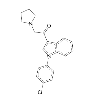 O=C(CN1CCCC1)c1cn(-c2ccc(Cl)cc2)c2ccccc12